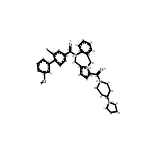 COc1cccc(-c2ccc(C(=O)N3Cc4ccc(C(=O)N5CCC(N6CCCC6)CC5)n4Cc4ccccc43)cc2C)c1